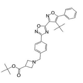 CC(C)(C)OC(=O)C1CN(Cc2ccc(-c3noc(-c4noc(-c5ccccc5)c4C(C)(C)C)n3)cc2)C1